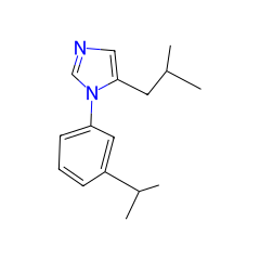 CC(C)Cc1cncn1-c1cccc(C(C)C)c1